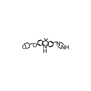 CC1(C)c2ccc(OCC3CCOCC3)cc2Nc2ccc(CN3CCNCC3)cc21